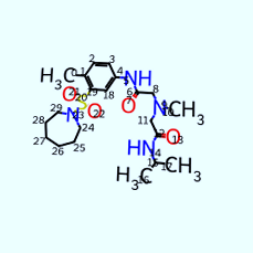 Cc1ccc(NC(=O)CN(C)CC(=O)NC(C)C)cc1S(=O)(=O)N1CCCCCC1